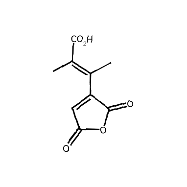 CC(C(=O)O)=C(C)C1=CC(=O)OC1=O